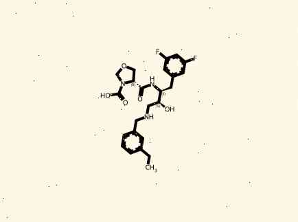 CCc1cccc(CNC[C@H](O)[C@H](Cc2cc(F)cc(F)c2)NC(=O)[C@H]2COCN2C(=O)O)c1